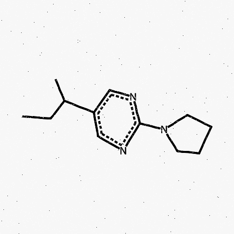 CCC(C)c1cnc(N2CCCC2)nc1